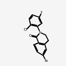 O=C1c2ccc(Br)cc2CCN1c1cc(F)ccc1Cl